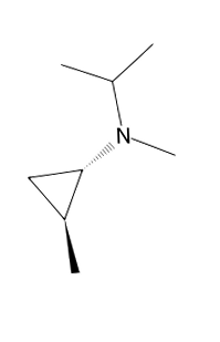 CC(C)N(C)[C@H]1C[C@@H]1C